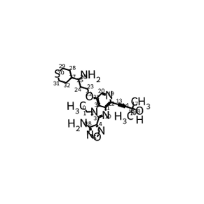 CCn1c(-c2nonc2N)nc2c(C#CC(C)(C)O)ncc(OCCC(N)C3CCSCC3)c21